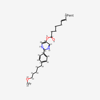 CCCCCC=CCCCCC(=O)Oc1cnc(-c2ccc(CCCCCOCCC)cc2)nc1